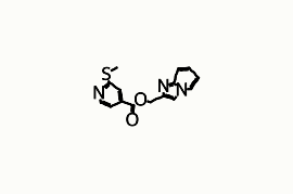 CSc1cc(C(=O)OCc2cn3ccccc3n2)ccn1